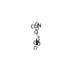 CN(C)C(=O)c1ccc(OCCC2CC23CCN(S(=O)(=O)C(C)(C)c2ccccc2)CC3)cc1Cl